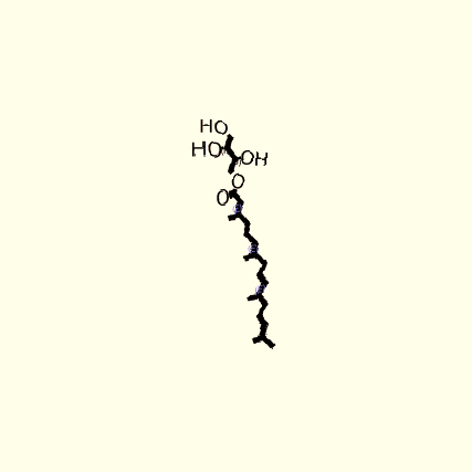 CC(C)=CCC/C(C)=C/CC/C(C)=C/CC/C(C)=C/C(=O)OC[C@H](O)[C@H](O)CO